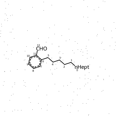 CCCCCCCCCCCCc1ccccc1C=O